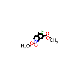 CCOC(=O)c1cc2c(cc1F)CCN(C(=O)OCC)C2